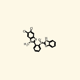 Cn1c(-c2ccccc2[S+]([O-])c2nc3ccccc3[nH]2)nc2cc(Cl)c(Cl)cc21